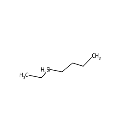 CCCC[SiH2]CC